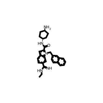 CCNC(=N)c1ccc2cc(C(=O)N[C@H]3CC[C@H](N)CC3)n(Cc3ccc4ccccc4c3)c2c1